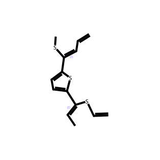 C=C/C=C(\SC)c1ccc(/C(=C/C)SC=C)s1